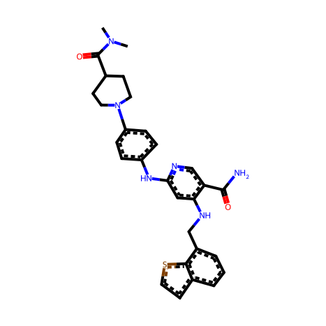 CN(C)C(=O)C1CCN(c2ccc(Nc3cc(NCc4cccc5ccsc45)c(C(N)=O)cn3)cc2)CC1